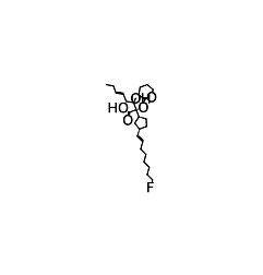 CCC=CC[C@@H](O)[C@](OC1CCCCO1)(C(=O)O)[C@H]1CC[C@@H](/C=C/CCCCCCF)C1